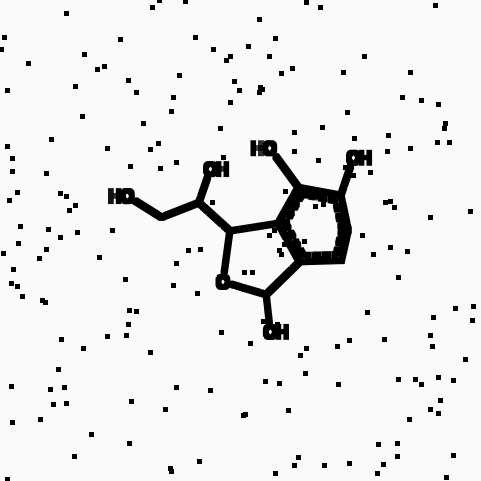 OCC(O)C1OC(O)c2ccc(O)c(O)c21